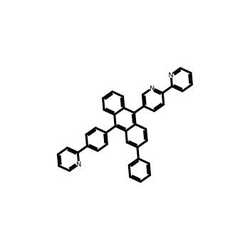 c1ccc(-c2ccc3c(-c4ccc(-c5ccccn5)nc4)c4ccccc4c(-c4ccc(-c5ccccn5)cc4)c3c2)cc1